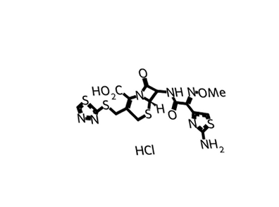 CON=C(C(=O)NC1C(=O)N2C(C(=O)O)=C(CSc3nncs3)CS[C@@H]12)c1csc(N)n1.Cl